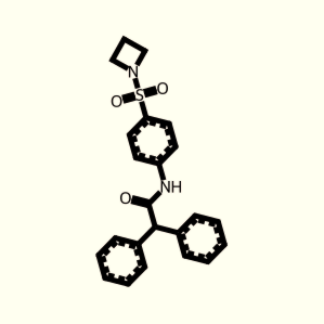 O=C(Nc1ccc(S(=O)(=O)N2CCC2)cc1)C(c1ccccc1)c1ccccc1